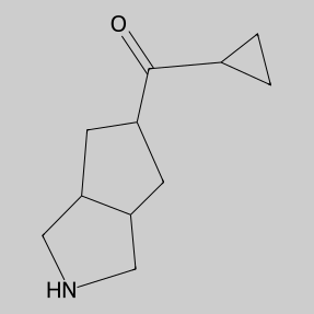 O=C(C1CC1)C1CC2CNCC2C1